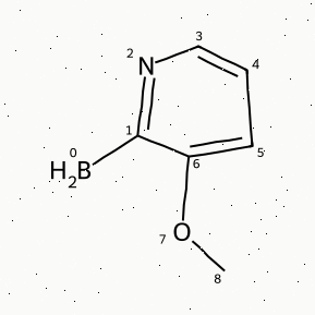 Bc1ncccc1OC